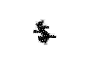 COc1c(C)c(C)c(C(C)C(=O)C(C)c2c(C)c(C)c(OC)c(OCCC(C)c3ccc(F)cc3)c2OC)c(OC)c1OCCC(C)c1ccc(F)cc1